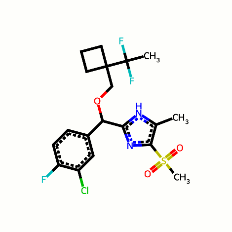 Cc1[nH]c(C(OCC2(C(C)(F)F)CCC2)c2ccc(F)c(Cl)c2)nc1S(C)(=O)=O